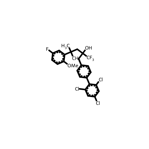 COc1ccc(F)cc1C(C)(C)CC(O)(Cc1ccc(-c2c(Cl)cc(Cl)cc2Cl)cc1)C(F)(F)F